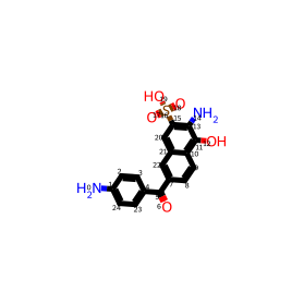 Nc1ccc(C(=O)c2ccc3c(O)c(N)c(S(=O)(=O)O)cc3c2)cc1